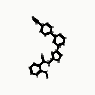 CSc1ncccc1C(=O)Nc1nc(-c2cccc(-c3ccc(C#N)cc3)c2)cs1